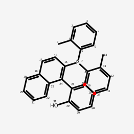 Cc1ccccc1P(c1ccccc1C)c1ccc2ccccc2c1-c1ccccc1O